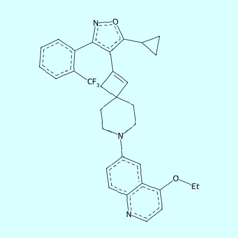 CCOc1ccnc2ccc(N3CCC4(C=C(c5c(-c6ccccc6C(F)(F)F)noc5C5CC5)C4)CC3)cc12